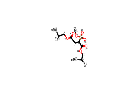 CCCCC(CC)COC(=O)CC(C(=O)OCC(CC)CCCC)S(=O)(=O)OCC